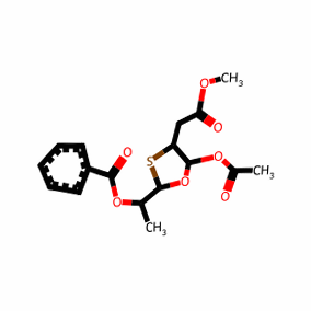 COC(=O)CC1SC(C(C)OC(=O)c2ccccc2)OC1OC(C)=O